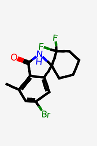 Cc1cc(Br)cc2c1C(=O)NC21CCCCC1(F)F